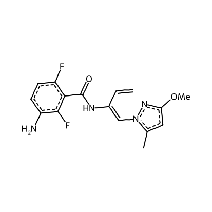 C=C/C(=C\n1nc(OC)cc1C)NC(=O)c1c(F)ccc(N)c1F